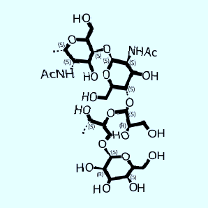 CC(=O)N[C@H]1C(O)[C@H](O[C@H](OC(CO[C@H]2OC(CO)[C@@H](O)C(O)[C@H]2O)[C@H](C)O)[C@H](O)CO)C(CO)O[C@H]1O[C@@H]1C(CO)O[C@@H](C)[C@@H](NC(C)=O)C1O